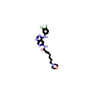 O=C(C#CCCCCN1CCOCC1)Nc1cc2c(Nc3ccc(F)c(Cl)c3)ncnc2cn1